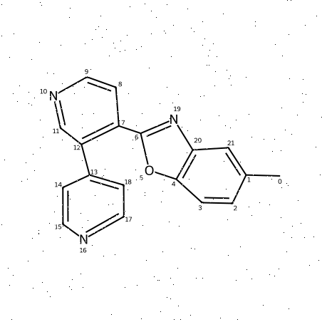 Cc1ccc2oc(-c3ccncc3-c3ccncc3)nc2c1